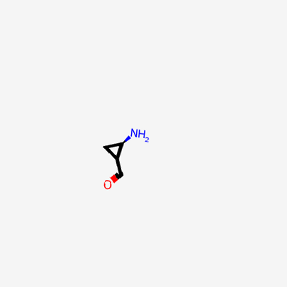 N[C@@H]1CC1C=O